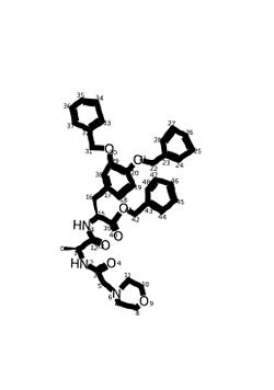 C[C@H](NC(=O)CN1CCOCC1)C(=O)N[C@@H](Cc1ccc(OCc2ccccc2)c(OCc2ccccc2)c1)C(=O)OCc1ccccc1